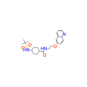 CC(C)(C)S(=O)(=O)NC1CCC(C(=O)NCCOc2ccc3ncccc3c2)CC1